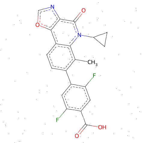 Cc1c(-c2cc(F)c(C(=O)O)cc2F)ccc2c3ocnc3c(=O)n(C3CC3)c12